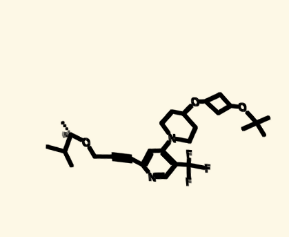 CC(C)[C@H](C)OCC#Cc1cc(N2CCC(OC3CC(OC(C)(C)C)C3)CC2)c(C(F)(F)F)cn1